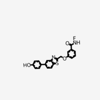 O=C(NF)c1cccc(OCc2nc3cc(-c4ccc(O)cc4)ccc3s2)c1